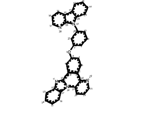 c1cc(Oc2ccc3c(c2)c2nc4ccccc4n2c2cccnc32)cc(-n2c3ccccc3c3cccnc32)c1